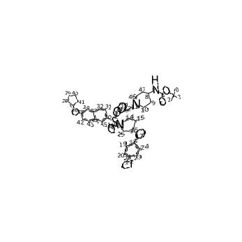 CC(C)(C)OC(=O)NC1CCN(C(=O)[C@@H]2C[C@H](Oc3ccc(Cl)cc3)CN2S(=O)(=O)c2ccc3cc(OC4CCCC4)ccc3c2)CC1